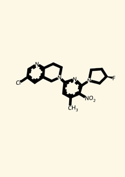 Cc1cc(N2CCc3ncc(Cl)cc3C2)nc(N2CC[C@@H](F)C2)c1[N+](=O)[O-]